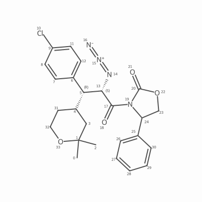 CC1(C)CC([C@H](c2ccc(Cl)cc2)[C@H](N=[N+]=[N-])C(=O)N2C(=O)OCC2c2ccccc2)CCO1